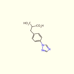 O=C(O)C(Cc1ccc(-n2cncn2)cc1)C(=O)O